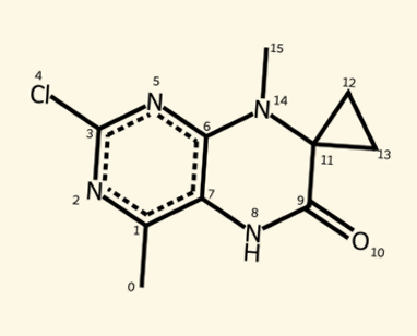 Cc1nc(Cl)nc2c1NC(=O)C1(CC1)N2C